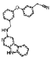 N#CCc1cccc(Oc2cccc(CNc3cc4c(cn3)[nH]c3ccccc34)c2)c1